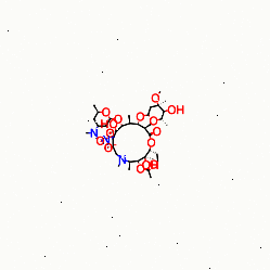 CC[C@H]1OC(=O)[C@H](C)[C@@H](O[C@H]2C[C@@](C)(OC)[C@@H](O)[C@H](C)O2)[C@H](C)[C@@H](O[C@@H]2O[C@H](C)C[C@H](N(C)C)[C@H]2O[N+](=O)[O-])[C@](C)(O)C[C@@H](C)CN(C)[C@H](C)[C@@H](OC(C)=O)[C@]1(C)O